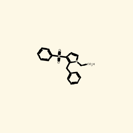 O=C(O)Cn1ccc(S(=O)(=O)c2ccccc2)c1Cc1ccccc1